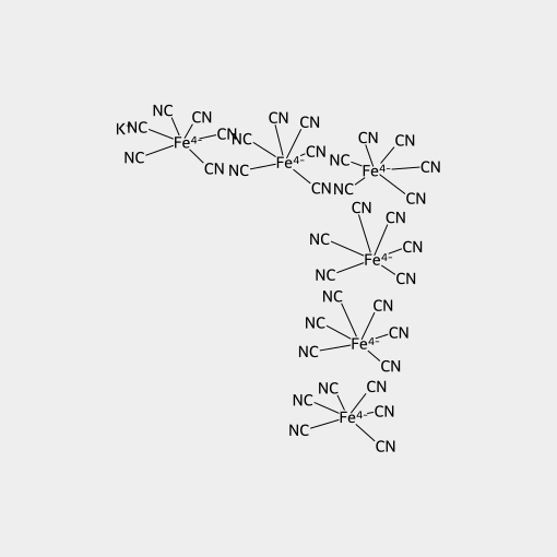 N#[C][Fe-4]([C]#N)([C]#N)([C]#N)([C]#N)[C]#N.N#[C][Fe-4]([C]#N)([C]#N)([C]#N)([C]#N)[C]#N.N#[C][Fe-4]([C]#N)([C]#N)([C]#N)([C]#N)[C]#N.N#[C][Fe-4]([C]#N)([C]#N)([C]#N)([C]#N)[C]#N.N#[C][Fe-4]([C]#N)([C]#N)([C]#N)([C]#N)[C]#N.N#[C][Fe-4]([C]#N)([C]#N)([C]#N)([C]#N)[C]#N.[K+]